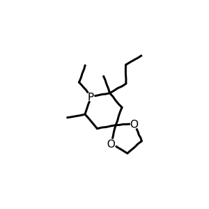 CCCC1(C)CC2(CC(C)P1CC)OCCO2